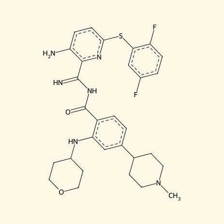 CN1CCC(c2ccc(C(=O)NC(=N)c3nc(Sc4cc(F)ccc4F)ccc3N)c(NC3CCOCC3)c2)CC1